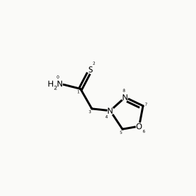 NC(=S)CN1COC=N1